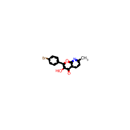 Cc1ccc2c(=O)c(O)c(-c3ccc(Br)cc3)oc2n1